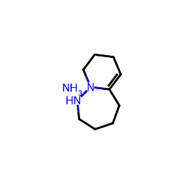 C1=C2CCCCNN2CCC1.N